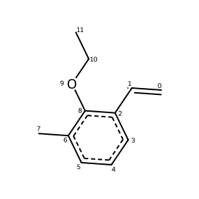 C=[C]c1cccc(C)c1OCC